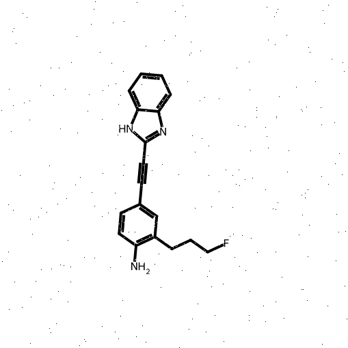 Nc1ccc(C#Cc2nc3ccccc3[nH]2)cc1CCCF